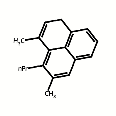 CCCc1c(C)cc2cccc3c2c1C(C)=CC3